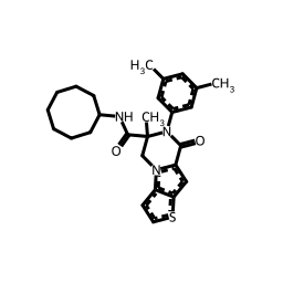 Cc1cc(C)cc(N2C(=O)c3cc4sccc4n3CC2(C)C(=O)NC2CCCCCCC2)c1